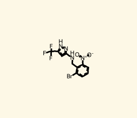 O=[N+]([O-])c1cccc(Br)c1CNc1cc(C(F)(F)F)[nH]n1